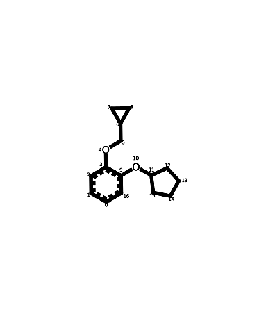 [c]1ccc(OCC2CC2)c(OC2CCCC2)c1